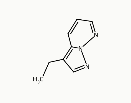 CCc1cnn2ncccc12